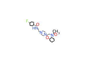 CC(=O)N1CC(N2CCN(CCNC(=O)c3ccc(F)cc3)CC2)Oc2ccccc21